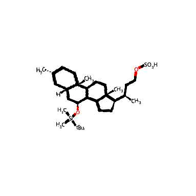 C[C@@H]1CC[C@]2(C)C3CC[C@@]4(C)C(CC[C@@H]4[C@H](C)CCOS(=O)(=O)O)C3[C@@H](O[Si](C)(C)C(C)(C)C)C[C@@H]2C1